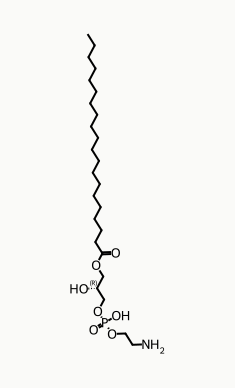 CCCCCCCCCCCCCCCCCCCC(=O)OC[C@@H](O)COP(=O)(O)OCCN